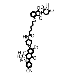 CCc1cc2c(cc1N1CCC(NC(=O)CCCCCSc3cccc4c3C(=O)N(C3CCC(=O)NC3=O)C4=O)CC1)C(C)(C)c1[nH]c3cc(C#N)ccc3c1C2=O